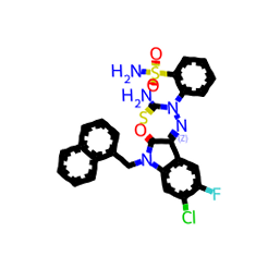 NC(=S)N(/N=C1\C(=O)N(Cc2cccc3ccccc23)c2cc(Cl)c(F)cc21)c1ccccc1S(N)(=O)=O